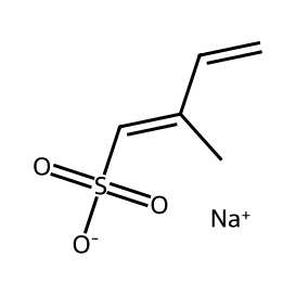 C=C/C(C)=C/S(=O)(=O)[O-].[Na+]